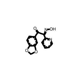 O=C(/C(=N/O)c1ccccn1)c1ccc2c(c1)OCO2